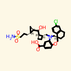 NS(=O)(=O)CCC[C@@H]1C[C@H]1[C@H](O)[C@@H]1CC[C@H]1CN1C[C@@]2(CCCc3cc(Cl)ccc32)COc2ccc(C(=O)O)cc21